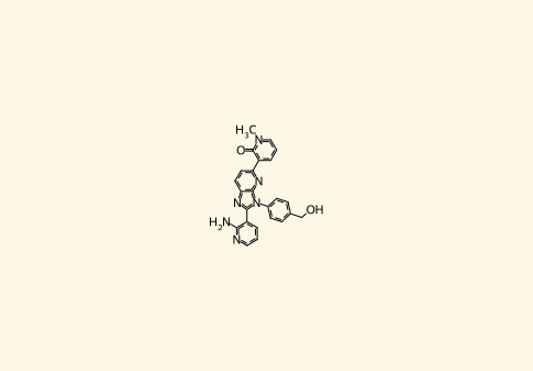 Cn1cccc(-c2ccc3nc(-c4cccnc4N)n(-c4ccc(CO)cc4)c3n2)c1=O